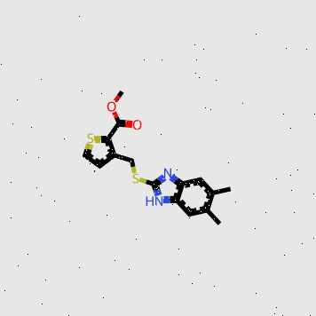 COC(=O)c1sccc1CSc1nc2cc(C)c(C)cc2[nH]1